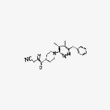 Cc1c(Cc2ccccc2)nnc(N2CCC(C(=O)NCC#N)CC2)c1C